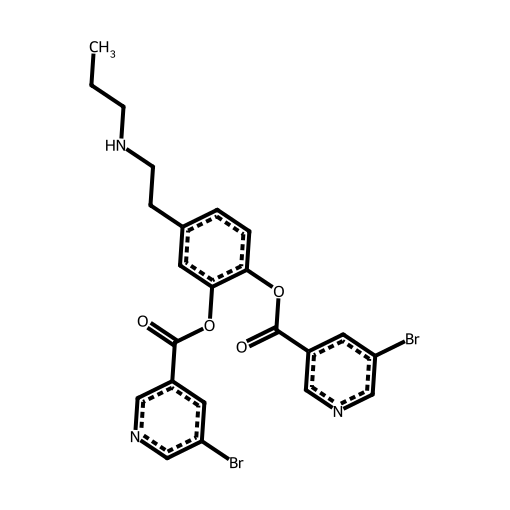 CCCNCCc1ccc(OC(=O)c2cncc(Br)c2)c(OC(=O)c2cncc(Br)c2)c1